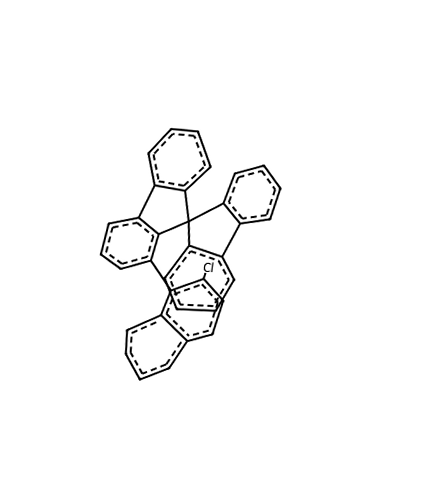 Clc1ccc2ccccc2c1-c1cccc2c1C1(c3ccccc3-c3ccccc31)c1ccccc1-2